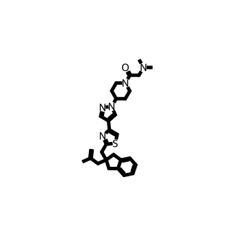 C=C(C)CC1(Cc2nc(-c3cnn(C4CCN(C(=O)CN(C)C)CC4)c3)cs2)Cc2ccccc2C1